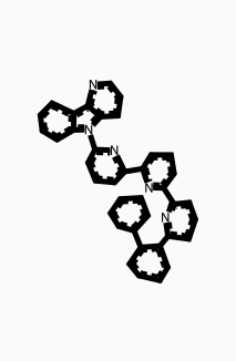 c1ccc(-c2ccccc2-c2cccc(-c3cccc(-c4cccc(-n5c6ccccc6c6ncccc65)n4)n3)n2)cc1